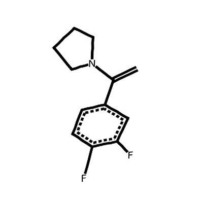 C=C(c1ccc(F)c(F)c1)N1CCCC1